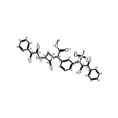 COC(=O)C(c1cccc(N(C(=O)C(=O)c2ccccc2)S(C)(=O)=O)c1)N1CC(NC(=O)C(=O)c2ccccc2)C1=O